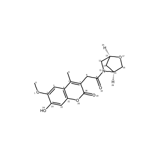 COc1cc2c(C)c(CC(=O)N3C[C@@H]4C[C@H]3CO4)c(=O)oc2cc1O